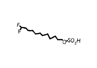 O=S(=O)(O)OCCCCCCCCCCCC(F)F